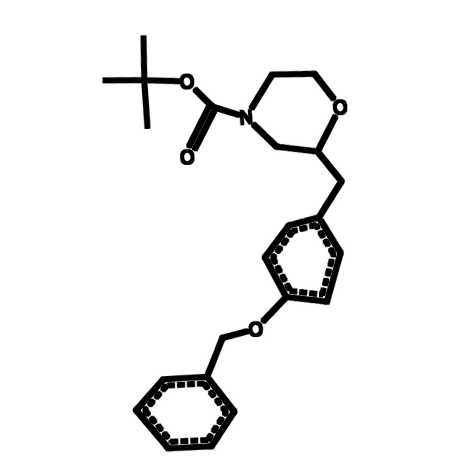 CC(C)(C)OC(=O)N1CCOC(Cc2ccc(OCc3ccccc3)cc2)C1